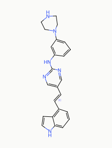 C(=C\c1cccc2[nH]ccc12)/c1cnc(Nc2cccc(N3CCNCC3)c2)nc1